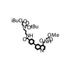 COC(=O)CNC(=O)c1ccnc2ccc(-c3ccc(C(=O)NCCCN(CC(=O)OCC(C)C)C(=O)OC(C)(C)C)cc3)cc12